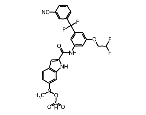 CN(O[SH](=O)=O)c1ccc2cc(C(=O)Nc3cc(OCC(F)F)cc(C(F)(F)c4cccc(C#N)c4)c3)[nH]c2c1